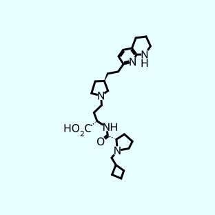 O=C(O)[C@H](CCN1CC[C@@H](CCc2ccc3c(n2)NCCC3)C1)NC(=O)[C@@H]1CCCN1CC1CCC1